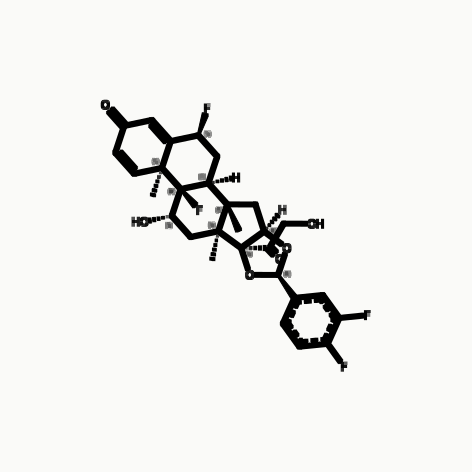 C[C@]12C[C@H](O)[C@@]3(F)[C@@H](C[C@H](F)C4=CC(=O)C=C[C@@]43C)[C@]1(C)C[C@H]1O[C@@H](c3ccc(F)c(F)c3)O[C@]12C(=O)CO